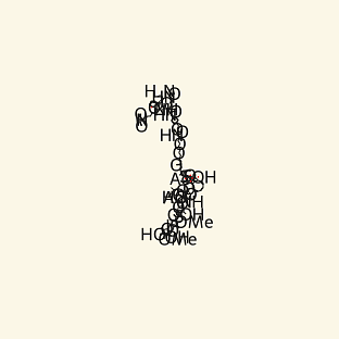 COc1c(C)c(OC2OC(C)C(O)C(OC)C2O)c(I)c(C)c1C(=O)SC1C(O)CC(ONC2C(C)OC(O[C@H]3C#C/C=C\C#C[C@]4(O)CC(=O)C(CC(C)=O)=C3/C4=C\CSSC(C)(C)CCC(=O)CCCOCCOCCNC(=O)OCc3ccc(NC(=O)[C@H](CCCNC(N)=O)CC(=O)[C@H](Cc4ccccc4)NC(=O)CCCCCN4C(=O)C=CC4=O)cc3)C(OC3CC(C)C(CC(C)=O)CO3)C2O)OC1C